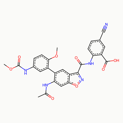 COC(=O)Nc1ccc(OC)c(-c2cc3c(C(=O)Nc4ccc(C#N)cc4C(=O)O)noc3cc2NC(C)=O)c1